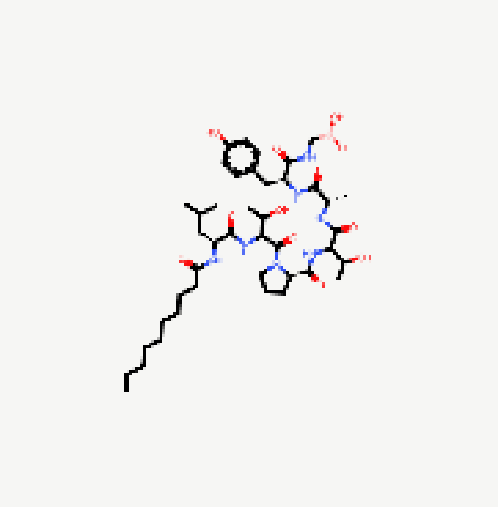 CCCCCCCCCC(=O)N[C@@H](CC(C)C)C(=O)NC(C(=O)N1CCC[C@@H]1C(=O)NC(C(=O)N[C@@H](C)C(=O)N[C@@H](Cc1ccc(O)cc1)C(=O)NCB(O)O)C(C)O)C(C)O